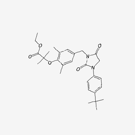 CCOC(=O)C(C)(C)Oc1c(C)cc(CN2C(=O)CN(c3ccc(C(C)(C)C)cc3)C2=O)cc1C